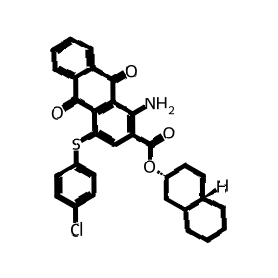 Nc1c(C(=O)O[C@@H]2CC[C@@H]3CCCCC3C2)cc(Sc2ccc(Cl)cc2)c2c1C(=O)c1ccccc1C2=O